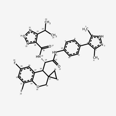 Cc1n[nH]c(C)c1-c1ccc(NC(=O)[C@@H](NC(=O)c2nonc2C(C)C)C2c3cc(F)cc(F)c3OCC23CC3)cc1